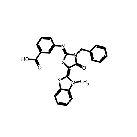 CN1/C(=C2/S/C(=N\c3cccc(C(=O)O)c3)N(Cc3ccccc3)C2=O)Sc2ccccc21